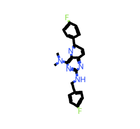 CN(C)c1nc(NCc2ccc(F)cc2)nc2ccc(-c3ccc(F)cc3)nc12